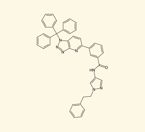 O=C(Nc1cnn(CCc2ccccc2)c1)c1cccc(-c2ccc3c(nnn3C(c3ccccc3)(c3ccccc3)c3ccccc3)n2)c1